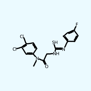 CN(C(=O)CNC(S)=Nc1ccc(F)cc1)c1ccc(Cl)c(Cl)c1